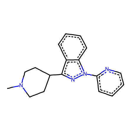 CN1CCC(c2nn(-c3ccccn3)c3ccccc23)CC1